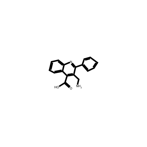 NCc1c(-c2ccccc2)nc2ccccc2c1C(=O)O